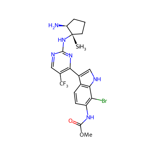 COC(=O)Nc1ccc2c(-c3nc(N[C@@]4([SiH3])CCC[C@@H]4N)ncc3C(F)(F)F)c[nH]c2c1Br